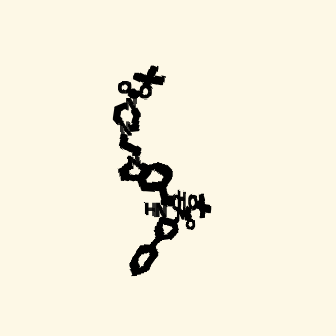 CC(C)(C)OC(=O)Nc1ccc(-c2ccccc2)cc1NC(=O)c1ccc2c(ccn2CCN2CCN(C(=O)OC(C)(C)C)CC2)c1